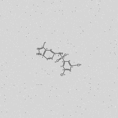 Cc1n[nH]c2ccc(NS(=O)(=O)c3cc(Cl)cc(Cl)c3)cc12